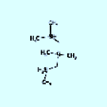 C[SiH2]C[Si](C)(C)C[SiH](C)C